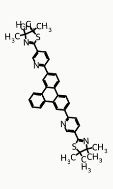 CC1(C)N=C(c2ccc(-c3ccc4c5ccc(-c6ccc(C7=NC(C)(C)C(C)(C)S7)cn6)cc5c5ccccc5c4c3)nc2)SC1(C)C